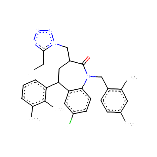 CCOC(=O)Cc1nnnn1CC1CC(c2cccc(OC)c2OC)c2cc(Cl)ccc2N(Cc2ccc(OC)cc2OC)C1=O